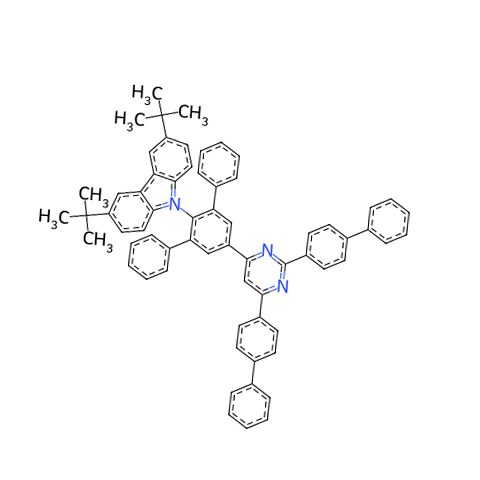 CC(C)(C)c1ccc2c(c1)c1cc(C(C)(C)C)ccc1n2-c1c(-c2ccccc2)cc(-c2cc(-c3ccc(-c4ccccc4)cc3)nc(-c3ccc(-c4ccccc4)cc3)n2)cc1-c1ccccc1